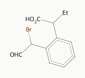 CCC(C(=O)O)c1ccccc1C(Br)C=O